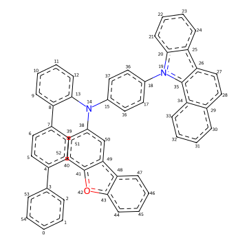 c1ccc(-c2ccc(-c3ccccc3N(c3ccc(-n4c5ccccc5c5ccc6ccccc6c54)cc3)c3ccc4oc5ccccc5c4c3)cc2)cc1